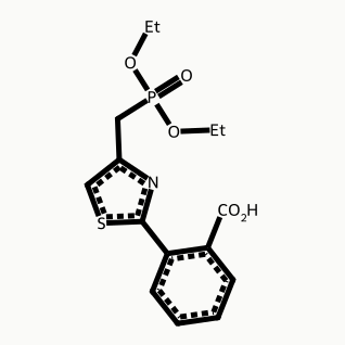 CCOP(=O)(Cc1csc(-c2ccccc2C(=O)O)n1)OCC